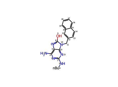 CCCCNc1nc(N)c2nc(O)n(Cc3ccc4ccccc4c3)c2n1